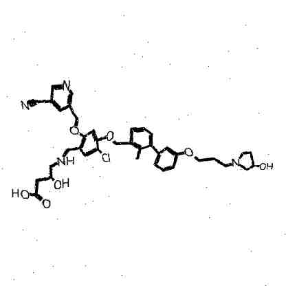 Cc1c(COc2cc(OCc3cncc(C#N)c3)c(CNC[C@@H](O)CC(=O)O)cc2Cl)cccc1-c1cccc(OCCCN2CC[C@@H](O)C2)c1